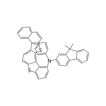 CC1(C)c2ccccc2-c2ccc(N(c3ccccc3)c3cccc4sc5ccc6c(sc7ccc8ccccc8c76)c5c34)cc21